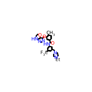 CCN1CCN(Cc2cc(NC(=O)c3ccc(C)c(Oc4ncnc5c4OCCN5)c3)cc(C(F)(F)F)c2)CC1